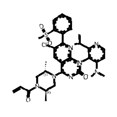 C=CC(=O)N1C[C@H](C)N(c2nc(=O)n(-c3c(N(C)C)ccnc3C(C)C)c3nc(-c4ccccc4S(C)(=O)=O)c(Cl)cc23)C[C@H]1C